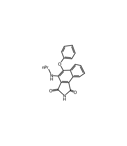 CCCNc1c2c(c3ccccc3c1Oc1ccccc1)C(=O)NC2=O